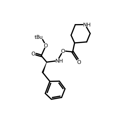 CC(C)(C)OC(=O)[C@H](Cc1ccccc1)NOC(=O)C1CCNCC1